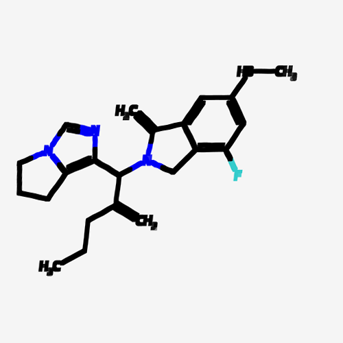 C=C(CCC)C(c1ncn2c1CCC2)N1Cc2c(F)cc(BC)cc2C1=C